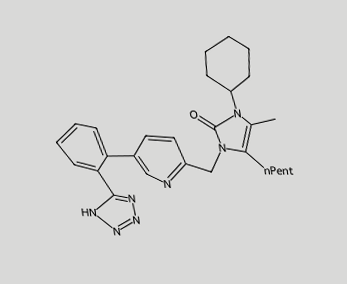 CCCCCc1c(C)n(C2CCCCC2)c(=O)n1Cc1ccc(-c2ccccc2-c2nnn[nH]2)cn1